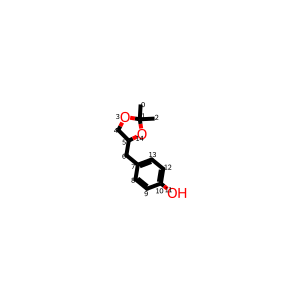 CC1(C)OCC(Cc2ccc(O)cc2)O1